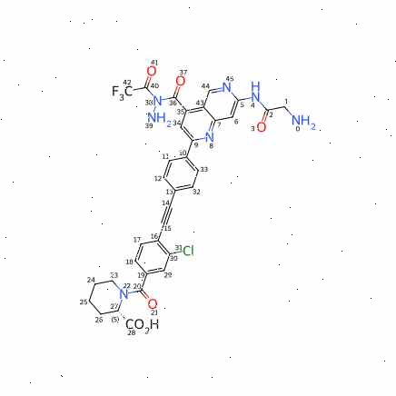 NCC(=O)Nc1cc2nc(-c3ccc(C#Cc4ccc(C(=O)N5CCCC[C@H]5C(=O)O)cc4Cl)cc3)cc(C(=O)N(N)C(=O)C(F)(F)F)c2cn1